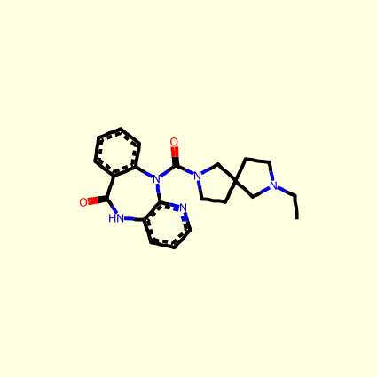 CCN1CCC2(CCN(C(=O)N3c4ccccc4C(=O)Nc4cccnc43)C2)C1